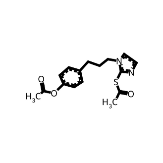 CC(=O)Oc1ccc(CCCn2ccnc2SC(C)=O)cc1